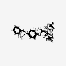 CC(Oc1ccc([S+](C)Cc2ccccc2)cc1)=[N+](S(=O)(=O)C(F)(F)F)S(=O)(=O)C(F)(F)F